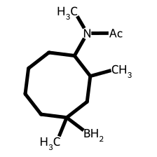 BC1(C)CCCCC(N(C)C(C)=O)C(C)C1